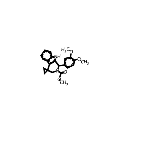 COC(=O)N1CC2(CC2)c2c([nH]c3ccccc23)C1c1ccc(OC)c(OC)c1